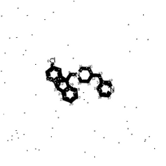 Clc1ccc2c(c1)C1(CN3CCC(Cc4cccnc4)CC3)CC2c2ccccc21